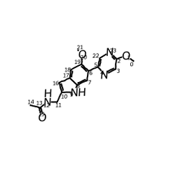 COc1cnc(-c2cc3[nH]c(CNC(C)=O)cc3cc2OC)cn1